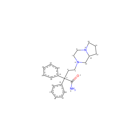 NC(=O)C(CCN1CCN2CCCC2C1)(c1ccccc1)c1ccccc1